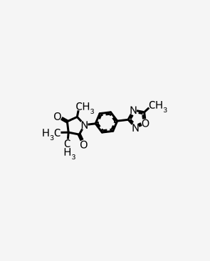 Cc1nc(-c2ccc(N3C(=O)C(C)(C)C(=O)C3C)cc2)no1